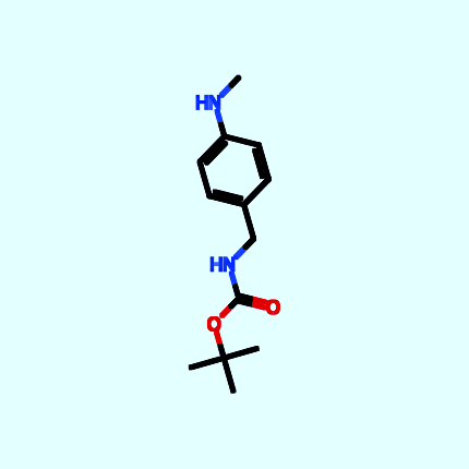 CNc1ccc(CNC(=O)OC(C)(C)C)cc1